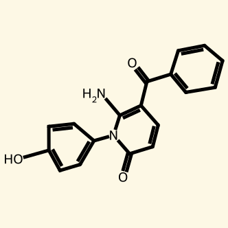 Nc1c(C(=O)c2ccccc2)ccc(=O)n1-c1ccc(O)cc1